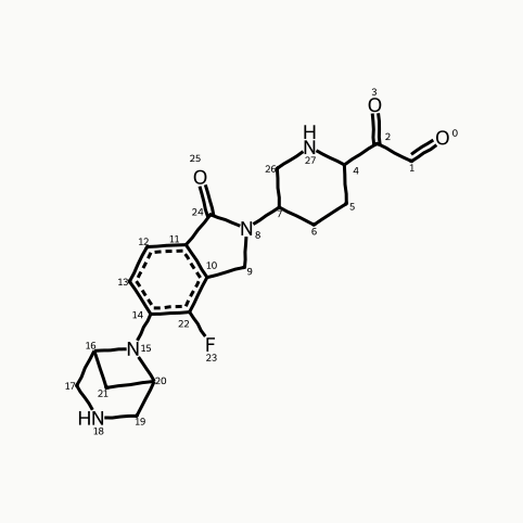 O=CC(=O)C1CCC(N2Cc3c(ccc(N4C5CNCC4C5)c3F)C2=O)CN1